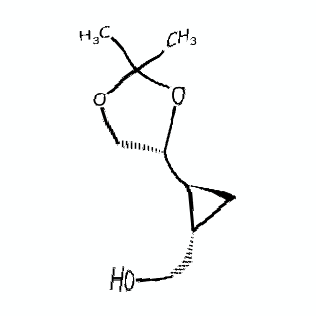 CC1(C)OC[C@@H]([C@H]2C[C@@H]2CO)O1